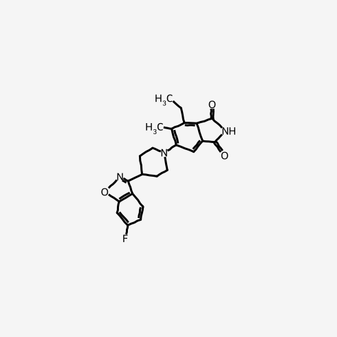 CCc1c(C)c(N2CCC(c3noc4cc(F)ccc34)CC2)cc2c1C(=O)NC2=O